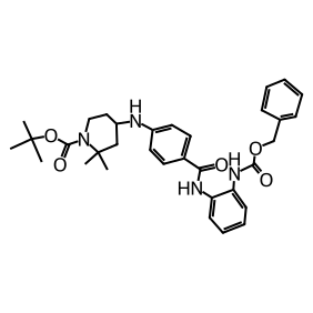 CC(C)(C)OC(=O)N1CCC(Nc2ccc(C(=O)Nc3ccccc3NC(=O)OCc3ccccc3)cc2)CC1(C)C